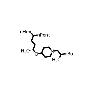 CCCCCCC(CCCCC)CC[C@@H](C)OC1CCN(CC(C)CCCC)CC1